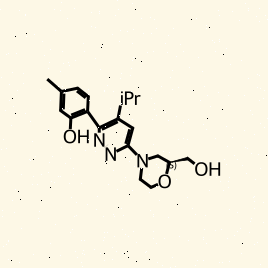 Cc1ccc(-c2nnc(N3CCO[C@H](CO)C3)cc2C(C)C)c(O)c1